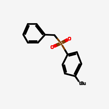 CC(C)(C)c1ccc(S(=O)(=O)Cc2ccccc2)cc1